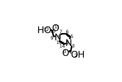 O=C(O)CN1C=CCN(CC(=O)O)C=C1